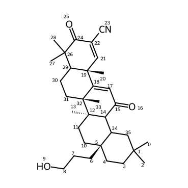 CC1(C)CC[C@]2(CCCO)CC[C@]3(C)C(C(=O)C=C4[C@@]5(C)C=C(C#N)C(=O)C(C)(C)C5CC[C@]43C)C2C1